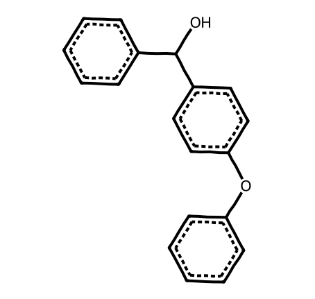 OC(c1ccccc1)c1ccc(Oc2ccccc2)cc1